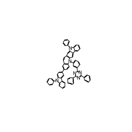 C1=Cc2cc3c(cc2N(c2cccc(-c4nc(-c5ccccc5)nc(-c5ccccc5)n4)c2)c2ccc(-c4ccc5c(c4)c4ccccc4n5-c4ccccc4)cc21)c1ccccc1n3-c1ccccc1